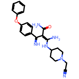 N#CCN1CCC(N/C(N)=C(\C(=N)c2ccc(Oc3ccccc3)cc2)C(N)=O)CC1